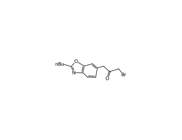 CCCCc1nc2ccc(CC(=O)CBr)cc2o1